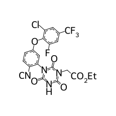 CCOC(=O)Cn1c(=O)[nH]c(=O)n(-c2cc(Oc3c(F)cc(C(F)(F)F)cc3Cl)ccc2C#N)c1=O